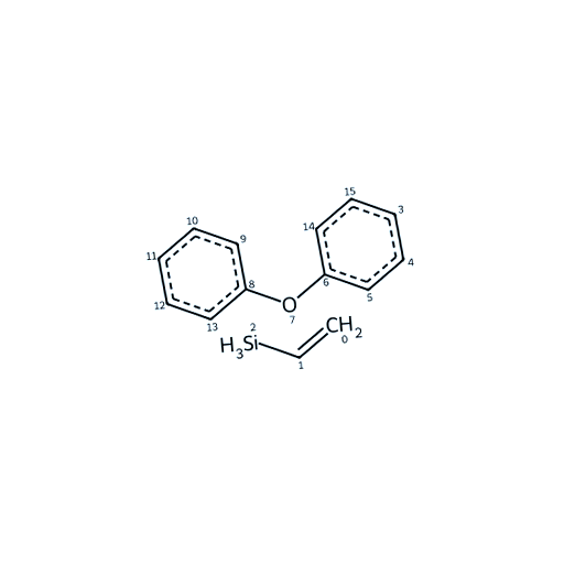 C=C[SiH3].c1ccc(Oc2ccccc2)cc1